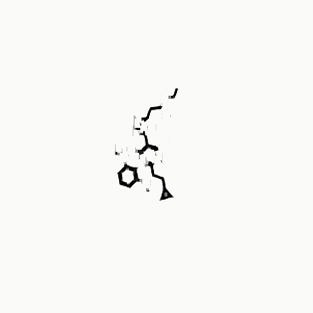 CCOC(=O)Cc1nnc(-c2c(O)n(-c3c(OC)cccc3OC)c(CCC3CC3)nc2=O)o1